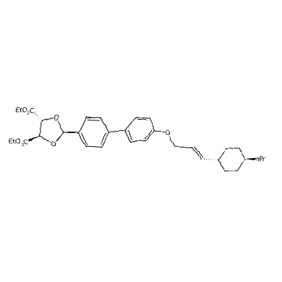 CCC[C@H]1CC[C@H](C=CCOc2ccc(-c3ccc(C4O[C@@H](C(=O)OCC)[C@H](C(=O)OCC)O4)cc3)cc2)CC1